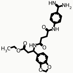 CCOC(=O)CC(NC(=O)CCC(=O)Nc1ccc(C(=N)N)cc1)c1ccc2c(c1)OCO2